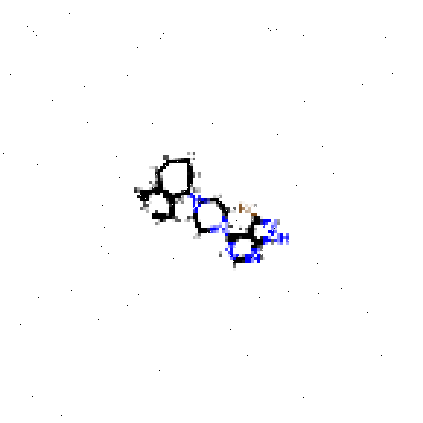 Brc1n[nH]c2ncnc(N3CCN(C4CCCCc5ccccc54)CC3)c12